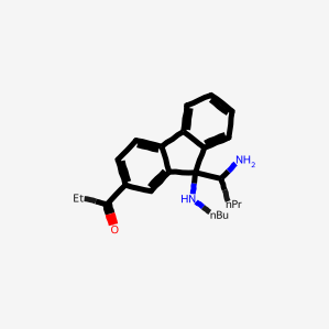 CCCCNC1(C(N)CCC)c2ccccc2-c2ccc(C(=O)CC)cc21